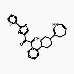 C=C(C(=O)c1csc(-c2cccs2)n1)c1ccccc1C1CCC(C2=CNC=CCC2)CC1